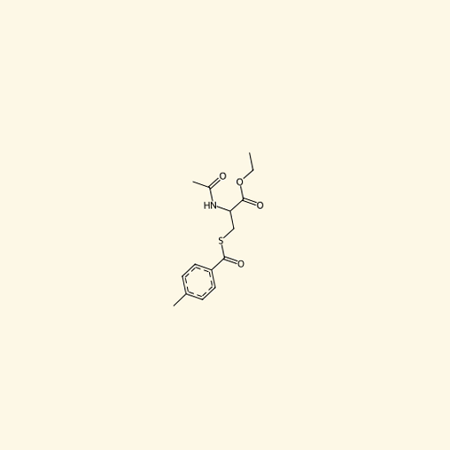 CCOC(=O)C(CSC(=O)c1ccc(C)cc1)NC(C)=O